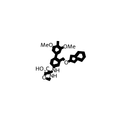 COc1cc(-c2ccc(NC3(C(=O)O)COCN3)cc2COC2Cc3ccccc3C2)cc(OC)c1C